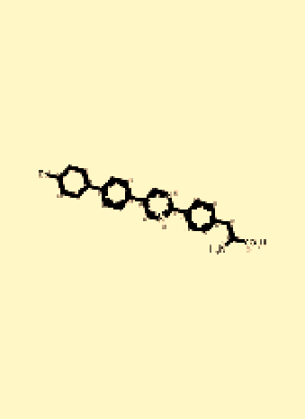 CCC1CCC(c2ccc(-c3cnc(-c4ccc(CC(N)C(=O)O)cc4)nc3)cc2)CC1